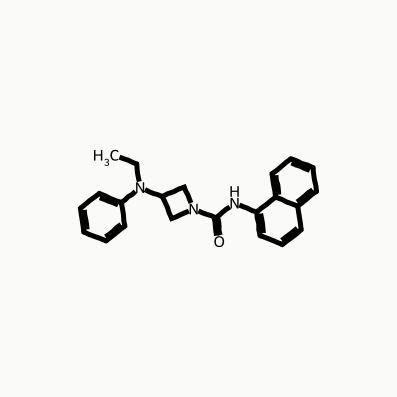 CCN(c1ccccc1)C1CN(C(=O)Nc2cccc3ccccc23)C1